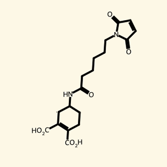 O=C(CCCCCN1C(=O)C=CC1=O)NC1[CH]C(C(=O)O)=C(C(=O)O)CC1